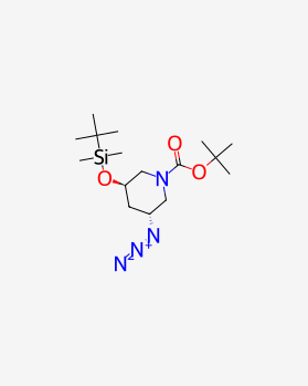 CC(C)(C)OC(=O)N1C[C@H](N=[N+]=[N-])C[C@@H](O[Si](C)(C)C(C)(C)C)C1